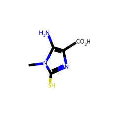 Cn1c(S)nc(C(=O)O)c1N